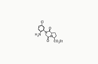 CCOC(=O)C1CCC2C(=O)N(c3cc(Cl)ccc3N)CC(=O)N12